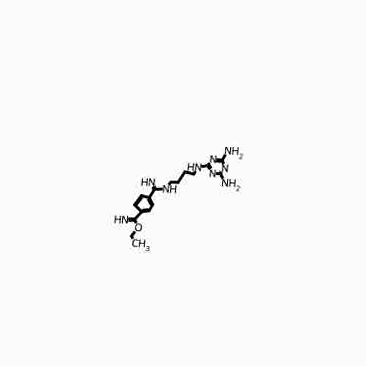 CCOC(=N)c1ccc(C(=N)NCCCCNc2nc(N)nc(N)n2)cc1